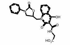 O=C(O)CNC(=O)c1c(O)c2ccccc2n(CC2CN(c3ccccc3)C(=O)O2)c1=O